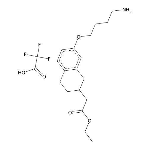 CCOC(=O)CC1CCc2ccc(OCCCCN)cc2C1.O=C(O)C(F)(F)F